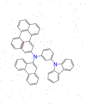 c1ccc(-c2cccc3cccc(-c4cccc(N(c5cccc(-n6c7ccccc7c7ccccc76)c5)c5cc6ccccc6c6ccccc56)c4)c23)cc1